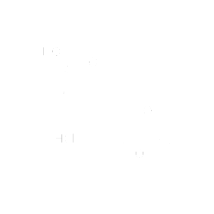 Cl.O=C(O)Cc1ccc2c(c1)OCO2